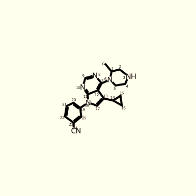 CC1CNCCN1c1ncnc2c1c(C1CC1)cn2-c1cccc(C#N)c1